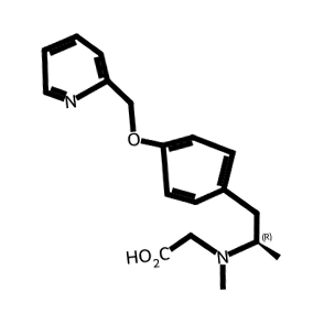 C[C@H](Cc1ccc(OCc2ccccn2)cc1)N(C)CC(=O)O